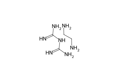 N=C(N)NC(=N)N.NCCN